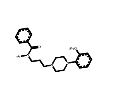 CCCN(CCCN1CCN(c2ccccc2OC)CC1)C(=O)c1ccccc1